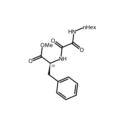 CCCCCCNC(=O)C(=O)N[C@@H](Cc1ccccc1)C(=O)OC